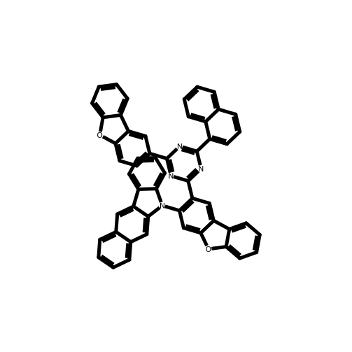 c1ccc2cc3c(cc2c1)c1ccccc1n3-c1cc2oc3ccccc3c2cc1-c1nc(-c2ccc3oc4ccccc4c3c2)nc(-c2cccc3ccccc23)n1